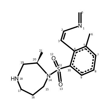 C=N/C=C\c1c(C)cccc1S(=O)(=O)N1CCCNC[C@H]1C